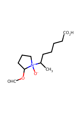 CC(CCCCC(=O)O)[N+]1([O-])CCCC1OC=O